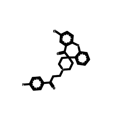 O=C(CCN1CCC2(CC1)C(=O)c1cc(Cl)ccc1Sc1ccccc12)c1ccc(F)cc1